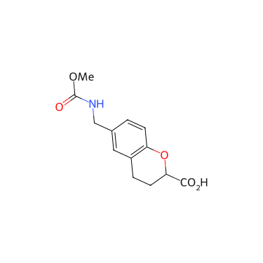 COC(=O)NCc1ccc2c(c1)CCC(C(=O)O)O2